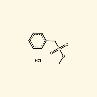 COS(=O)(=O)Cc1ccccc1.Cl